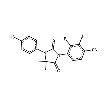 CC1(C)C(=O)N(c2ccc(C#N)c(I)c2F)C(=S)N1c1ccc(S)cc1